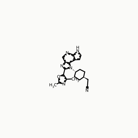 Cc1nc(C)c(-c2nc3cnc4[nH]ccc4c3n2[C@H]2CC[C@H](CC#N)CC2)o1